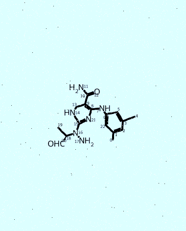 Cc1cc(C)cc(NC2=C(C(N)=O)CNC(N(N)[C@H](C)C=O)=N2)c1